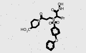 CC(C)C(C(=O)NO)N(CCC(=O)N1CCC(C(=O)O)CC1)S(=O)(=O)c1ccc(Oc2ccccc2)cc1